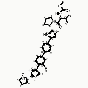 COC(=O)N[C@H](C(=O)N1CCC[C@H]1c1ncc(-c2ccc(-c3ccc(-c4cnc([C@@H]5CCCN5)[nH]4)c(F)c3)cc2)[nH]1)C(C)C